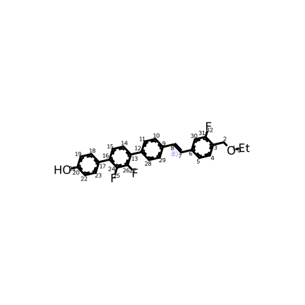 CCOCc1ccc(/C=C/c2ccc(-c3ccc(-c4ccc(O)cc4)c(F)c3F)cc2)cc1F